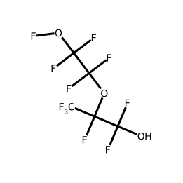 OC(F)(F)C(F)(OC(F)(F)C(F)(F)OF)C(F)(F)F